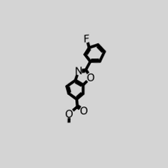 COC(=O)c1ccc2nc(-c3cccc(F)c3)oc2c1